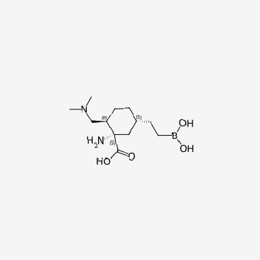 CN(C)C[C@H]1CC[C@H](CCB(O)O)C[C@@]1(N)C(=O)O